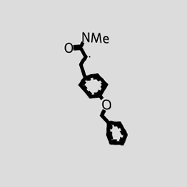 CNC(=O)[CH]Cc1ccc(OCc2ccccc2)cc1